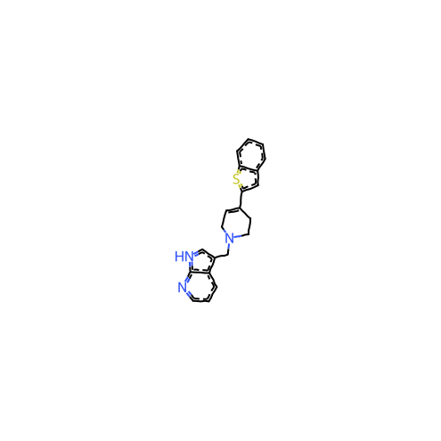 C1=C(c2cc3ccccc3s2)CCN(Cc2c[nH]c3ncccc23)C1